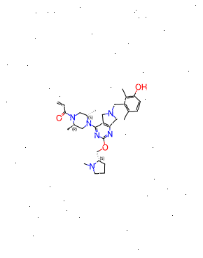 C=CC(=O)N1C[C@H](C)N(c2nc(OC[C@@H]3CCCN3C)nc3c2CN(Cc2c(C)ccc(O)c2C)C3)C[C@H]1C